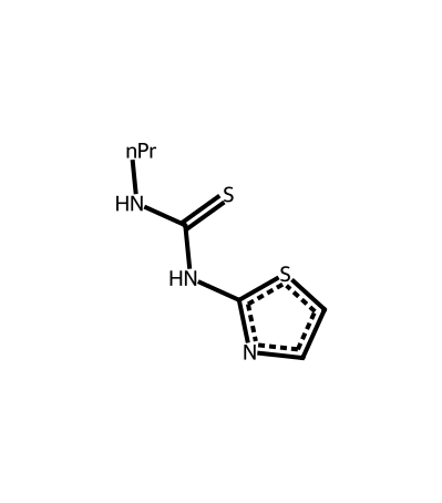 CCCNC(=S)Nc1nccs1